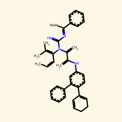 C=C(Nc1ccc(C2=CCCC=C2)c(-c2ccccc2)c1)C(=C)N(C(=N)/N=C(\NC)c1ccccc1)C(/C=C\C)=C(C)C